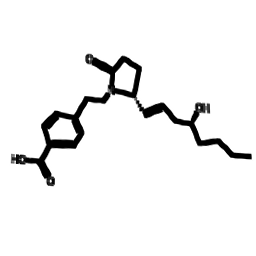 CCCC[C@H](O)C/C=C/[C@H]1CCC(=O)N1CCc1ccc(C(=O)O)cc1